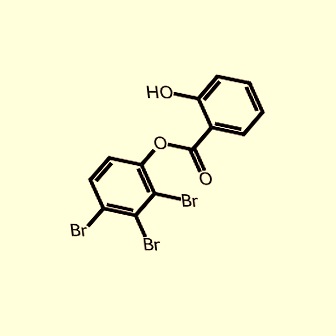 O=C(Oc1ccc(Br)c(Br)c1Br)c1ccccc1O